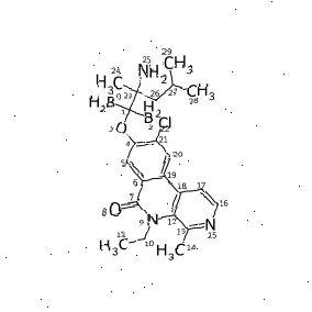 BC(B)(Oc1cc2c(=O)n(CC)c3c(C)nccc3c2cc1Cl)C(C)(N)CC(C)C